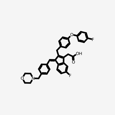 O=C(O)CC1=C(Cc2ccc(Oc3ccc(F)cc3)cc2)/C(=C/c2ccc(CN3CCOCC3)cc2)c2ccc(F)cc21